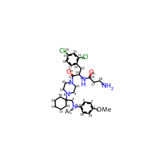 COc1ccc(N(CC2(N3CCN(C(=O)C(Cc4ccc(Cl)cc4Cl)NC(=O)CCN)CC3)CCCCC2)C(C)=O)cc1